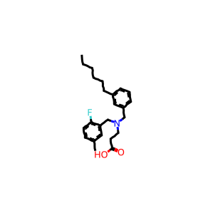 CCCCCCc1cccc(CN(CCC(=O)O)Cc2cc(C)ccc2F)c1